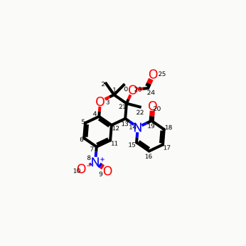 CC1(C)Oc2ccc([N+](=O)[O-])cc2C(n2ccccc2=O)C1(C)OC=O